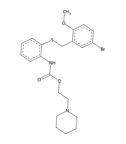 COc1ccc(Br)cc1CSc1ccccc1NC(=O)OCCN1CCCCC1